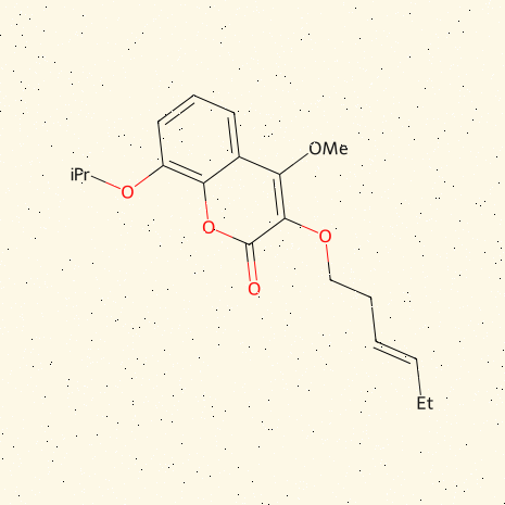 CC/C=C/CCOc1c(OC)c2cccc(OC(C)C)c2oc1=O